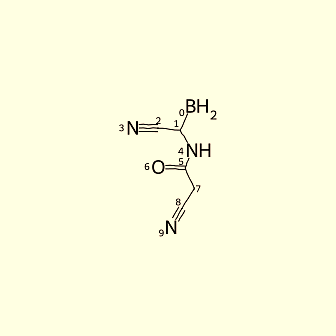 BC(C#N)NC(=O)CC#N